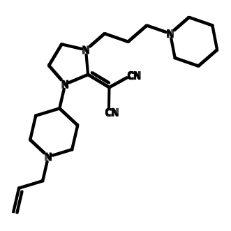 C=CCN1CCC(N2CCN(CCCN3CCCCC3)C2=C(C#N)C#N)CC1